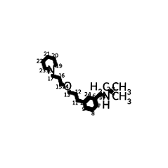 CC(C)(C)NCc1cccc(CCCOCCCN2CCCCC2)c1